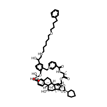 C[C@@H](NC(=O)c1ccc[n+](Cc2cc(C(O)CNCCCCCCOCCCCc3ccccc3)ccc2OP(=O)(O)O)c1)C(=O)OCC(=O)[C@@]12O[C@H](C3CCCCC3)O[C@@H]1C[C@H]1[C@@H]3CCC4=CC(=O)C=C[C@]4(C)[C@H]3[C@@H](O)C[C@@]12C